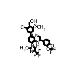 CSc1cc(-c2ccc(-n3cc(C(F)(F)F)nc3C)c(N/C(=C\N)c3ccc4c(c3)OC(F)(F)O4)c2)cc(Cl)c1CO